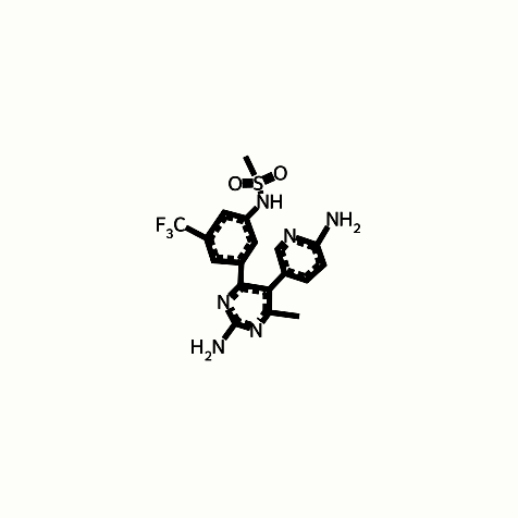 Cc1nc(N)nc(-c2cc(NS(C)(=O)=O)cc(C(F)(F)F)c2)c1-c1ccc(N)nc1